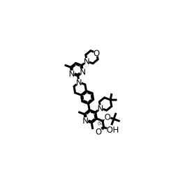 Cc1cc(N2CCOCC2)nc(N2CCc3cc(-c4c(C)nc(C)c([C@H](OC(C)(C)C)C(=O)O)c4N4CCC(C)(C)CC4)ccc3C2)n1